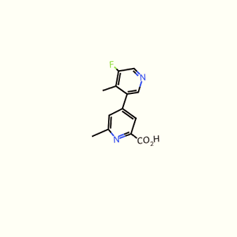 Cc1cc(-c2cncc(F)c2C)cc(C(=O)O)n1